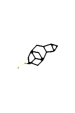 CSCC1C23CCCC1(C2)C1C2CC2C1C3